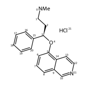 CNCC[C@@H](Oc1cccc2cnccc12)c1ccccc1.Cl